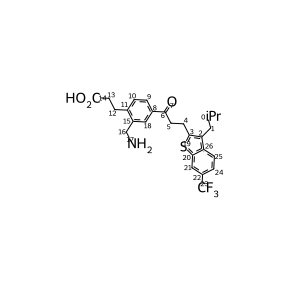 CC(C)Cc1c(CCC(=O)c2ccc(CCC(=O)O)c(CN)c2)sc2cc(C(F)(F)F)ccc12